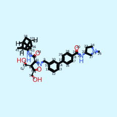 C[C@H](O)[C@@H]1[C@H](CO)ON(Cc2cccc(-c3ccc(C(=O)N[C@H]4CCN(C)C4)cc3)c2)[C@@H]1C(=O)NC1C[C@H]2C[C@@H]([C@@H]1C)C2(C)C